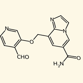 NC(=O)c1cc(COc2cnccc2C=O)c2nccn2c1